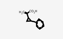 C=C(C(=O)O)C1CC1c1ccccc1